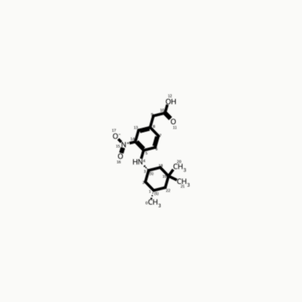 C[C@@H]1C[C@H](Nc2ccc(CC(=O)O)cc2[N+](=O)[O-])CC(C)(C)C1